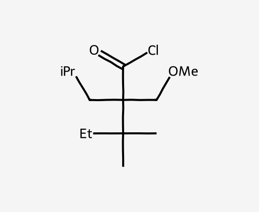 CCC(C)(C)C(COC)(CC(C)C)C(=O)Cl